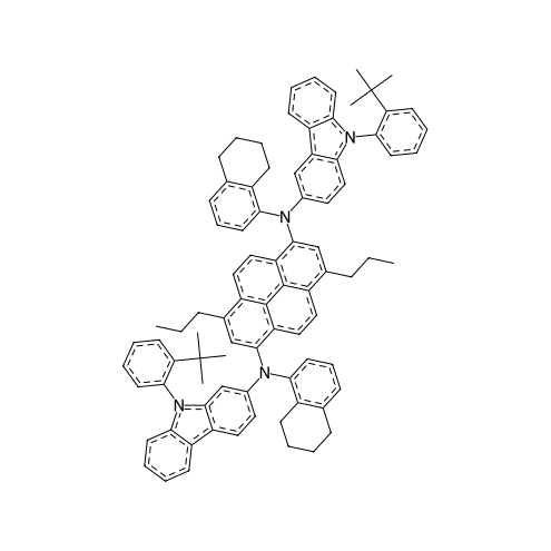 CCCc1cc(N(c2ccc3c(c2)c2ccccc2n3-c2ccccc2C(C)(C)C)c2cccc3c2CCCC3)c2ccc3c(CCC)cc(N(c4ccc5c6ccccc6n(-c6ccccc6C(C)(C)C)c5c4)c4cccc5c4CCCC5)c4ccc1c2c34